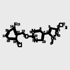 Cn1nc(C(F)(F)F)cc1-c1cnc(OCc2c(F)cccc2Cl)nc1